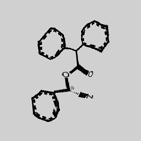 N#C[C@@H](OC(=O)C(c1ccccc1)c1ccccc1)c1ccccc1